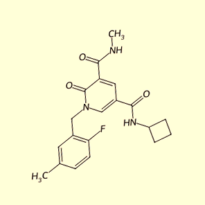 CNC(=O)c1cc(C(=O)NC2CCC2)cn(Cc2cc(C)ccc2F)c1=O